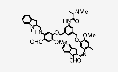 CN[C@@H](C)C(=O)Nc1cc(COc2cc(/N=C\[C@@H]3Cc4ccccc4N3C=O)c(C)cc2OC)cc(COc2cc(NCC3Cc4ccccc4N3C)c(C=O)cc2OC)c1